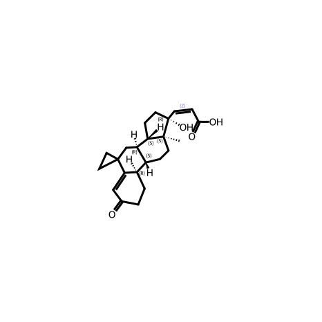 C[C@]12CC[C@H]3[C@@H](CC4(CC4)C4=CC(=O)CC[C@@H]43)[C@@H]1CC[C@@]2(O)/C=C\C(=O)O